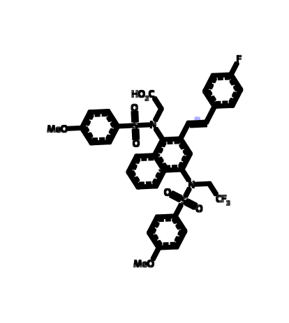 COc1ccc(S(=O)(=O)N(CC(F)(F)F)c2cc(/C=C/c3ccc(F)cc3)c(N(CC(=O)O)S(=O)(=O)c3ccc(OC)cc3)c3ccccc23)cc1